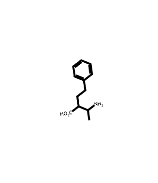 CC(N)C(CCc1ccccc1)C(=O)O